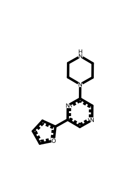 c1coc(-c2cncc(N3CCNCC3)n2)c1